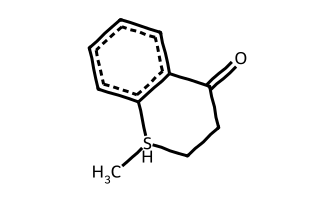 C[SH]1CCC(=O)c2ccccc21